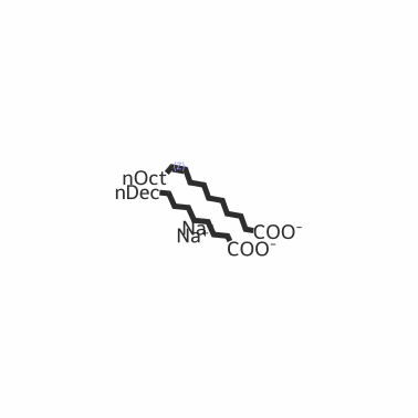 CCCCCCCC/C=C\CCCCCCCC(=O)[O-].CCCCCCCCCCCCCCCCCC(=O)[O-].[Na+].[Na+]